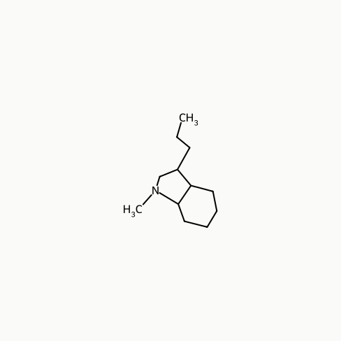 CCCC1CN(C)C2CCCCC12